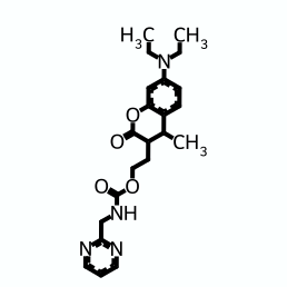 CCN(CC)c1ccc2c(c1)OC(=O)C(CCOC(=O)NCc1ncccn1)C2C